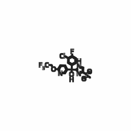 CS(=O)(=O)c1c[nH]c(C(O)(c2ccc(OCC(F)(F)F)nc2)c2ccc(F)c(Cl)c2)n1